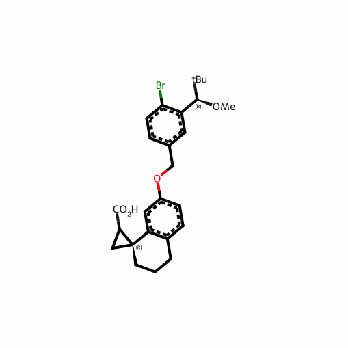 CO[C@@H](c1cc(COc2ccc3c(c2)[C@]2(CCC3)CC2C(=O)O)ccc1Br)C(C)(C)C